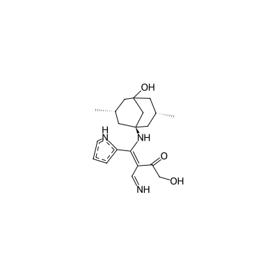 C[C@@H]1CC2(O)C[C@H](C)C[C@](N/C(=C(/C=N)C(=O)CO)c3ccc[nH]3)(C1)C2